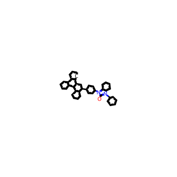 O=c1n(-c2ccccc2)c2ccccc2n1-c1ccc(-c2cc3c4ccccc4c4ccccc4c3c3ccccc23)cc1